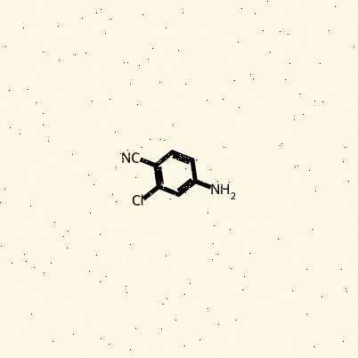 N#Cc1c[c]c(N)cc1Cl